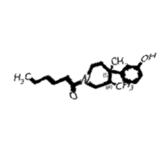 CCCCCC(=O)N1CC[C@](C)(c2cccc(O)c2)[C@@H](C)C1